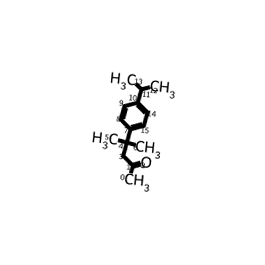 CC(=O)CC(C)(C)c1ccc(C(C)C)cc1